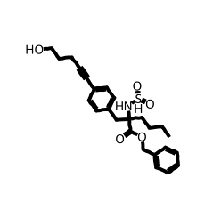 CCCCC(Cc1ccc(C#CCCCO)cc1)(N[SH](=O)=O)C(=O)OCc1ccccc1